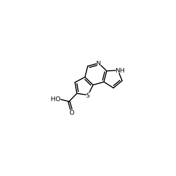 O=C(O)c1cc2cnc3[nH]ccc3c2s1